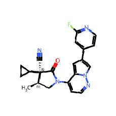 C[C@@H]1CN(c2ccnn3cc(-c4ccnc(F)c4)cc23)C(=O)[C@]1(C#N)C1CC1